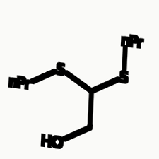 CCCSC(CO)SCCC